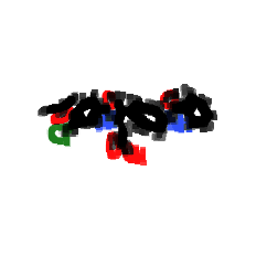 CC(C)Oc1ccc(C(=O)N[C@@H](CC(=O)O)C(C)c2ccc(NC(=O)c3ccccc3)cc2)cc1Cl